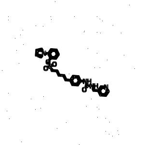 O=C(NCc1cccnc1)Nc1ccc(CCCCCS(=O)(=O)Oc2ccccc2-n2cccc2)cc1